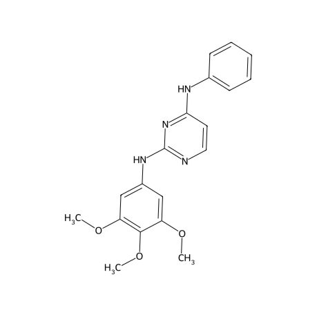 COc1cc(Nc2nccc(Nc3ccccc3)n2)cc(OC)c1OC